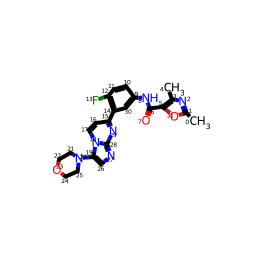 Cc1nc(C)c(C(=O)Nc2ccc(F)c(-c3ccn4c(N5CCOCC5)cnc4n3)c2)o1